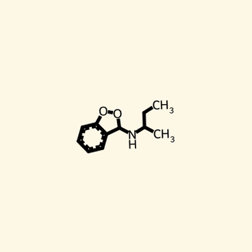 CCC(C)NC1OOc2ccccc21